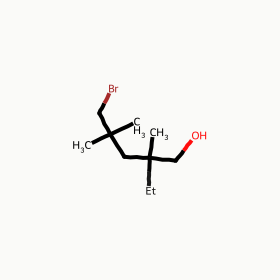 CCC(C)(CO)CC(C)(C)CBr